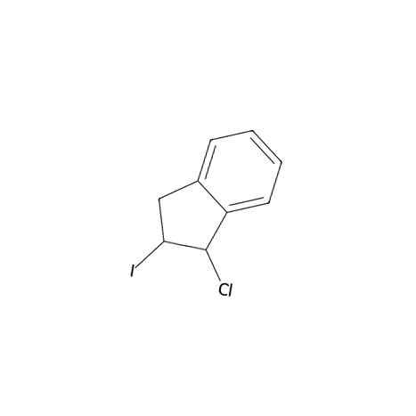 ClC1c2ccccc2CC1I